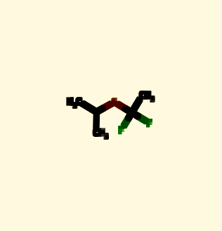 CC(C)SC(C)(F)F